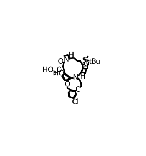 CC(C)(C)[Si](C)(C)OC1/C=C/C[C@H]2CCN2C(=O)C[C@@](O)(C(=O)O)c2ccc3c(c2)N(CCCCc2cc(Cl)ccc2CO3)C[C@@H]2CC[C@@H]12